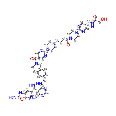 N=C(c1ccc2oc(N)nc2c1)c1c(N)ncnc1NCc1ccc2c(c1)CCN(C(=O)c1cnc(N3CCN(CCCC(=O)N4CCN(c5ncc(CNC(=O)CO)cn5)CC4)CC3)nc1)C2